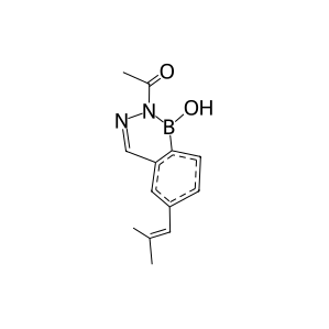 CC(=O)N1N=Cc2cc(C=C(C)C)ccc2B1O